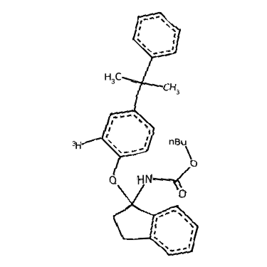 [3H]c1cc(C(C)(C)c2ccccc2)ccc1OC1(NC(=O)OCCCC)CCc2ccccc21